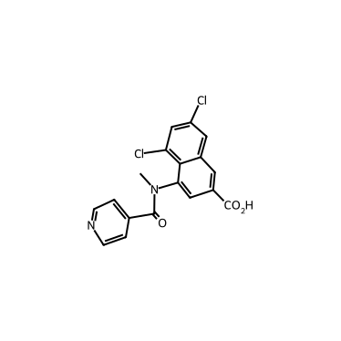 CN(C(=O)c1ccncc1)c1cc(C(=O)O)cc2cc(Cl)cc(Cl)c12